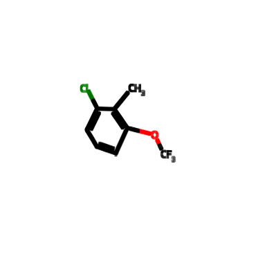 Cc1c(OC(F)(F)F)[c]ccc1Cl